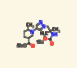 COC(=O)C1CCC(C)N(c2cnn(CC(C)(C)NC(=O)OC(C)(C)C)c2)C1